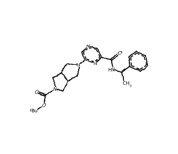 CC(NC(=O)c1cncc(N2CC3CN(C(=O)OC(C)(C)C)CC3C2)n1)c1ccccc1